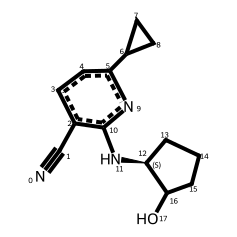 N#Cc1ccc(C2CC2)nc1N[C@H]1CCCC1O